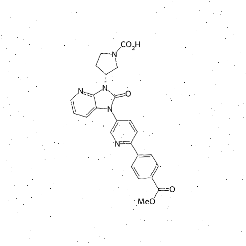 COC(=O)c1ccc(-c2ccc(-n3c(=O)n([C@@H]4CCN(C(=O)O)C4)c4ncccc43)cn2)cc1